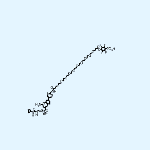 CCCN(OCCNC(=O)NC1CCC1)C(=O)C1=Cc2ccc(-c3cnc(CNC(=O)CCOCCOCCOCCOCCOCCOCCOCCOCCOCCOCCC(=O)Oc4c(F)c(F)c(S(=O)(=O)O)c(F)c4F)nc3)cc2N=C(N)C1